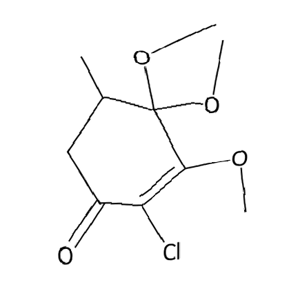 COC1=C(Cl)C(=O)CC(C)C1(OC)OC